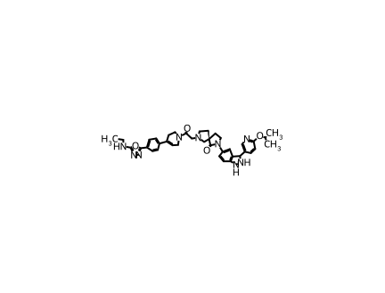 CCNc1nnc(-c2ccc(C3=CCN(C(=O)CN4CC[C@]5(CCN(c6ccc7c(c6)C(c6ccc(OC(C)C)nc6)NN7)C5=O)C4)CC3)cc2)o1